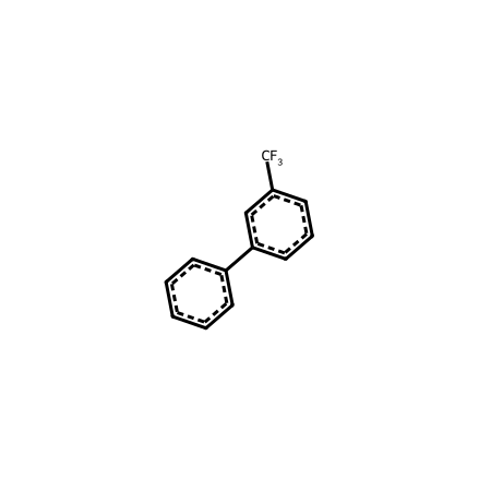 FC(F)(F)c1cccc(-c2ccccc2)c1